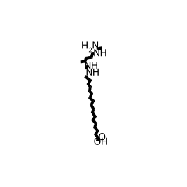 C=C(N)NCCCC(C)NCNCCCCCCCCCCCCCCCCCC(=O)O